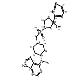 CN(c1ncnc2[nH]ccc12)[C@H]1CC[C@H](CS(=O)(=O)N2CCC(O)(c3ccccn3)C2)CC1